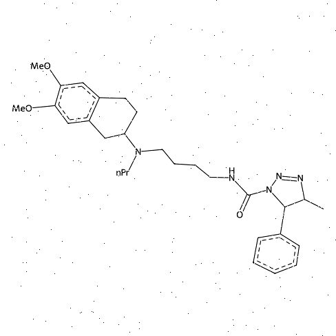 CCCN(CCCCNC(=O)N1N=NC(C)C1c1ccccc1)C1CCc2cc(OC)c(OC)cc2C1